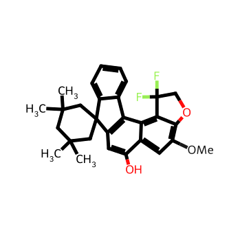 COc1cc2c(O)cc3c(c2c2c1OCC2(F)F)-c1ccccc1C31CC(C)(C)CC(C)(C)C1